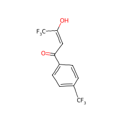 O=C(/C=C(/O)C(F)(F)F)c1ccc(C(F)(F)F)cc1